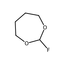 FC1OCCCCO1